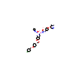 COC(=O)[C@H](Cc1ccc(Oc2ccnc(C)c2C)cc1)NC(=O)[C@@H]1Cc2cc3c(cc2CN1C(=O)NC1CCC1)O[C@@H](c1ccc(OCc2ccc(Cl)c(Cl)c2)cc1)CO3